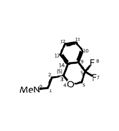 CNCC[C@@H]1OCC(F)(F)c2ccccc21